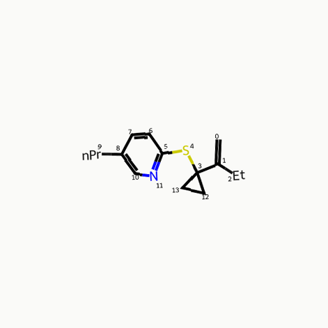 C=C(CC)C1(Sc2ccc(CCC)cn2)CC1